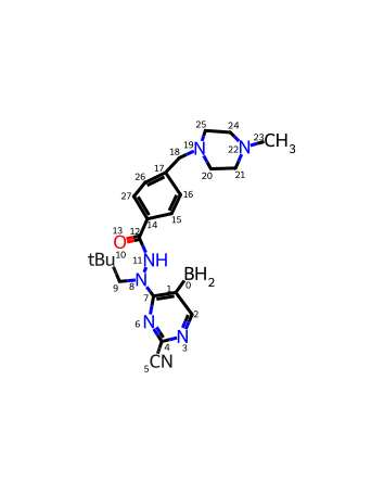 Bc1cnc(C#N)nc1N(CC(C)(C)C)NC(=O)c1ccc(CN2CCN(C)CC2)cc1